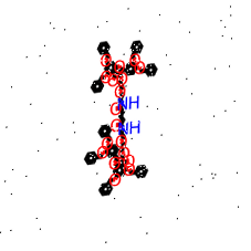 O=C(CCCC(=O)NCCOCCOc1c(-c2ccc(OCc3ccccc3)c(OCc3ccccc3)c2)oc2cc(OCc3ccccc3)cc(OCc3ccccc3)c2c1=O)NCCOCCOc1c(-c2ccc(OCc3ccccc3)c(OCc3ccccc3)c2)oc2cc(OCc3ccccc3)cc(OCc3ccccc3)c2c1=O